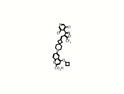 O=C(O)c1cc(OC2CCC2)c2cc(N3CCC4(CC3)CC(=Cc3c(-c5c(Cl)cncc5Cl)noc3C(F)(F)F)C4)ccc2n1